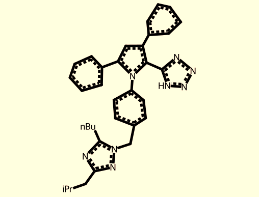 CCCCc1nc(CC(C)C)nn1Cc1ccc(-n2c(-c3ccccc3)cc(-c3ccccc3)c2-c2nnn[nH]2)cc1